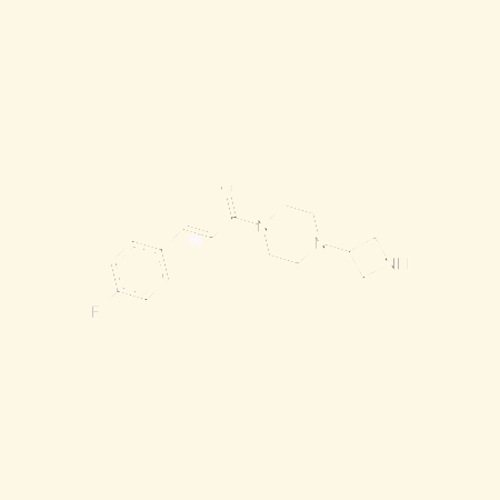 O=C(/C=C/c1ccc(F)cc1)N1CCN(C2CNC2)CC1